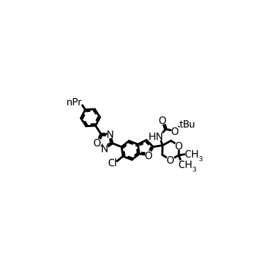 CCCc1ccc(-c2nc(-c3cc4cc(C5(NC(=O)OC(C)(C)C)COC(C)(C)OC5)oc4cc3Cl)no2)cc1